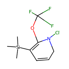 C[Si](C)(C)C1=C(OC(F)(F)F)N(Cl)CC=C1